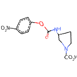 O=C(NC1CCN(C(=O)O)C1)Oc1ccc([N+](=O)[O-])cc1